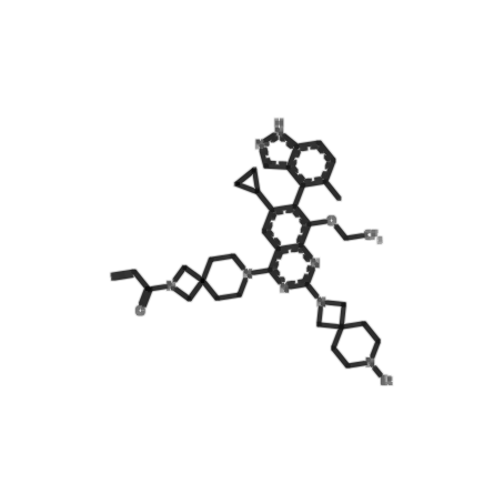 C=CC(=O)N1CC2(CCN(c3nc(N4CC5(CCN(CC)CC5)C4)nc4c(OCC(F)(F)F)c(-c5c(C)ccc6[nH]ncc56)c(C5CC5)cc34)CC2)C1